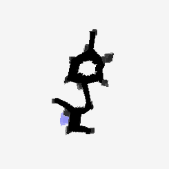 C/C=C(/C)Cc1ccc(C)nn1